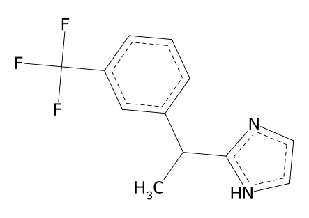 CC(c1cccc(C(F)(F)F)c1)c1ncc[nH]1